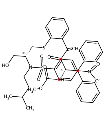 C=C(C(=O)[C@@H](NC(=O)OC)C(c1ccccc1)c1ccccc1)c1ccccc1SC[C@@H](CO)N(CCC(C)C)S(=O)(=O)c1ccc([N+](=O)[O-])cc1